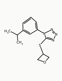 CC(C)c1cccc(-n2nnnc2SC2COC2)c1